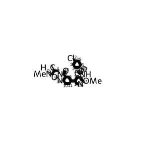 CNC(=O)[C@@H](C)Cn1cnc2ccc(-c3cnc(OC)c(NS(=O)(=O)c4ccc(Cl)cc4)c3)cc2c1=O